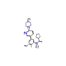 C=Cc1cc(-c2ccc(N3CCN(C(C)C)CC3)nc2)cc(N(CC)C(=C)C2CCCC2)c1C